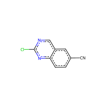 N#Cc1ccc2nc(Cl)ncc2c1